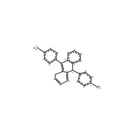 Nc1ccc(C2=C3CC=CC=C3C(c3ccc(N)cc3)c3ccccc32)cc1